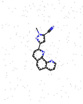 Cn1nc(-c2ccc3ccc4cccnc4c3n2)cc1C#N